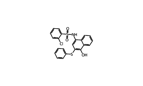 O=S(=O)(Nc1cc(Sc2ccccc2)c(O)c2ccccc12)c1ccccc1Cl